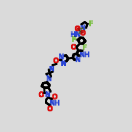 O=C1CCC(N2Cc3cc(N4CC5(CN(CCOc6ncc(-c7cnc8[nH]cc(C(=O)c9c(F)ccc(NS(=O)(=O)N%10CC[C@@H](F)C%10)c9F)c8c7)cn6)C5)C4)ccc3C2=O)C(=O)N1